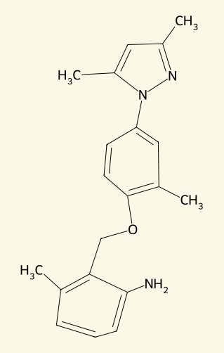 Cc1cc(C)n(-c2ccc(OCc3c(C)cccc3N)c(C)c2)n1